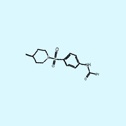 CC1CCN(S(=O)(=O)c2ccc(NC(=O)C(C)C)cc2)CC1